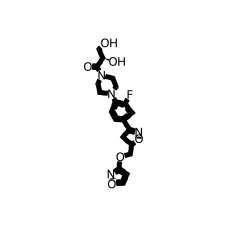 O=C([C@@H](O)CO)N1CCN(c2ccc(C3=NOC(COc4ccon4)C3)cc2F)CC1